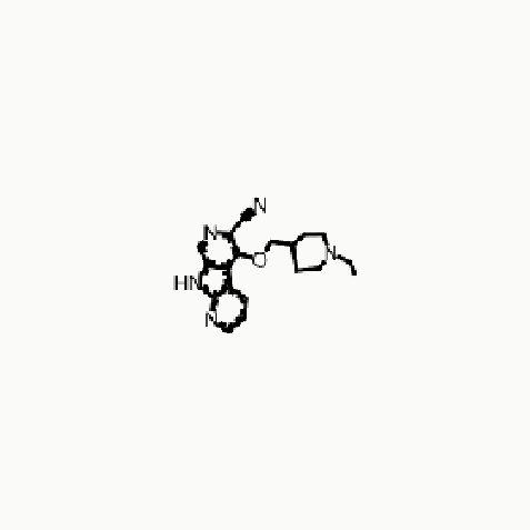 CCN1CCC(COc2c(C#N)ncc3[nH]c4ncccc4c23)CC1